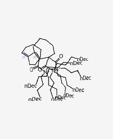 CCCCCCCCCCCCC[N+](CCCCCCCCCCCCC)(CCCCCCCCCCCCC)C(=O)/C1=C(\C2=C/CCCCCC2)CCCCCC1(C(=O)[N+](CCCCCCCCCCCCC)(CCCCCCCCCCCCC)CCCCCCCCCCCCC)C(=O)[N+](CCCCCCCCCCCCC)(CCCCCCCCCCCCC)CCCCCCCCCCCCC